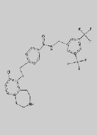 O=C(NCc1cc(C(F)(F)F)cc(C(F)(F)F)c1)c1ccc(CSc2c(Cl)ccc3c2CCNCC3)cc1